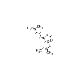 CCN(C)C[C@@H]1CN(CCCC(C)C)CCO1